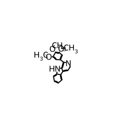 COc1cc(-c2nccc3c2[nH]c2ccccc23)cc(OC)c1OC